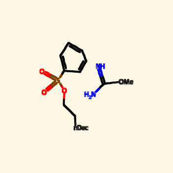 CCCCCCCCCCCCOS(=O)(=O)c1ccccc1.COC(=N)N